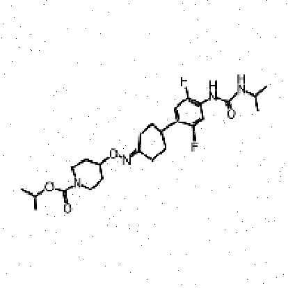 CC(C)NC(=O)Nc1cc(F)c(C2CCC(=NOC3CCN(C(=O)OC(C)C)CC3)CC2)cc1F